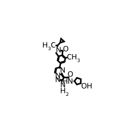 Cc1cc(-c2ccn3nc(N)c(C(=O)N[C@@H]4CC[C@@H](O)C4)c3n2)cc2c1C(=O)N(C(C)C1CC1)C2